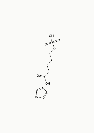 O=C(O)CCCCOS(=O)(=O)O.c1c[nH]cn1